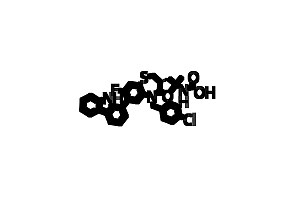 CC(C)(C[C@H]1CSc2cc(F)c(-c3cccc4c3[nH]c3ccccc34)cc2N(Cc2ccc(Cl)cc2)C1=O)NC(=O)O